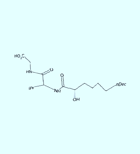 CCCCCCCCCCCCCC[C@H](O)C(=O)NC(C(=O)NCC(=O)O)C(C)C